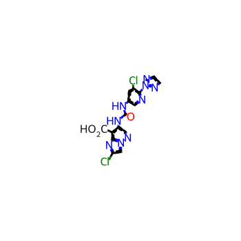 O=C(Nc1cnc(-n2nccn2)c(Cl)c1)Nc1cnn2cc(Cl)nc2c1C(=O)O